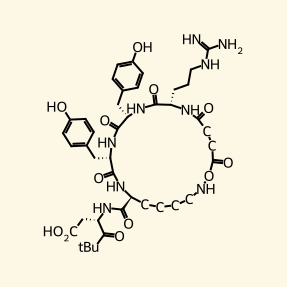 CC(C)(C)C(=O)[C@H](CC(=O)O)NC(=O)[C@@H]1CCCCNOC(=O)CCC(=O)N[C@@H](CCCNC(=N)N)C(=O)N[C@@H](Cc2ccc(O)cc2)C(=O)N[C@@H](Cc2ccc(O)cc2)C(=O)N1